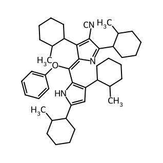 CC1CCCCC1C1=N/C(=C(/Oc2ccccc2)c2[nH]c(C3CCCCC3C)cc2C2CCCCC2C)C(C2CCCCC2C)=C1C#N